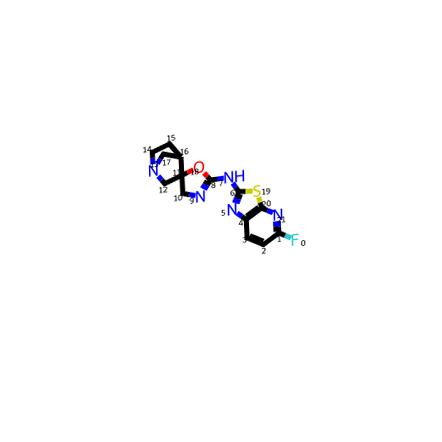 Fc1ccc2nc(NC3=NCC4(CN5CCC4C5)O3)sc2n1